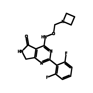 O=C1NCc2nc(-c3c(F)cccc3F)nc(NOCN3CCC3)c21